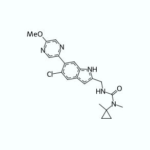 COc1cnc(-c2cc3[nH]c(CNC(=O)N(C)C4(C)CC4)cc3cc2Cl)cn1